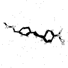 COOCc1ccc(/C=C/c2ccc([N+](=O)[O-])cc2)cc1